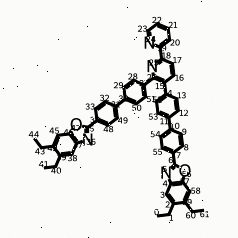 CCc1cc2nc(-c3ccc(-c4ccc(-c5ccc(-c6ccccn6)nc5-c5ccc(-c6ccc(-c7nc8cc(CC)c(CC)cc8o7)cc6)cc5)cc4)cc3)oc2cc1CC